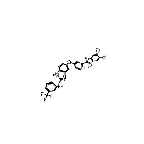 Cn1c(Nc2cccc(C(F)(F)F)c2)nc2cc(Oc3ccnc(-c4nc5cc(Cl)c(Cl)cc5[nH]4)c3)ccc21